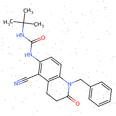 CC(C)(C)NC(=O)Nc1ccc2c(c1C#N)CCC(=O)N2Cc1ccccc1